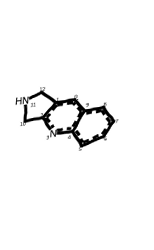 [c]1c2c(nc3ccccc13)CNC2